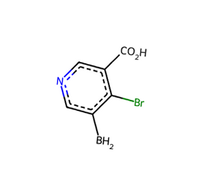 Bc1cncc(C(=O)O)c1Br